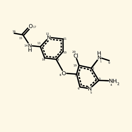 CNc1c(N)ncc(Oc2ccnc(NC(C)=O)c2)c1Cl